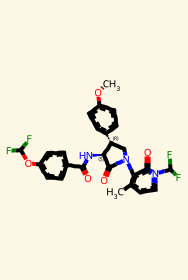 COc1ccc([C@@H]2CN(c3c(C)ccn(C(F)F)c3=O)C(=O)[C@H]2NC(=O)c2ccc(OC(F)F)cc2)cc1